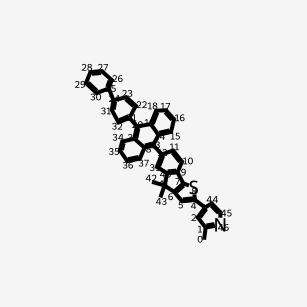 Cc1cc(-c2cc3c(s2)-c2ccc(-c4c5ccccc5c(-c5ccc(-c6ccccc6)cc5)c5ccccc45)cc2C3(C)C)ccn1